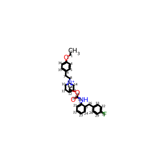 CCOc1ccc(CC[N+]23CCC(CC2)C(OC(=O)Nc2ccccc2Cc2ccc(F)cc2)C3)cc1